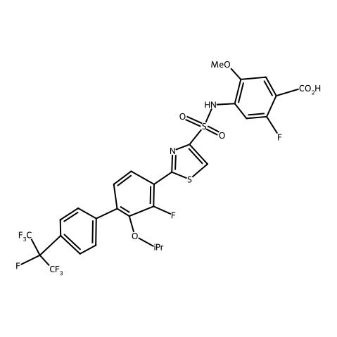 COc1cc(C(=O)O)c(F)cc1NS(=O)(=O)c1csc(-c2ccc(-c3ccc(C(F)(C(F)(F)F)C(F)(F)F)cc3)c(OC(C)C)c2F)n1